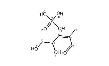 CC(C=O)=CC(O)CO.O=P(O)(O)O